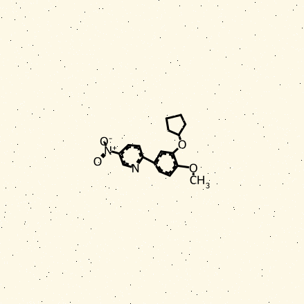 COc1ccc(-c2ccc([N+](=O)[O-])cn2)cc1OC1CCCC1